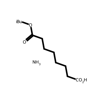 CCC(C)OC(=O)CCCCCCC(=O)O.N